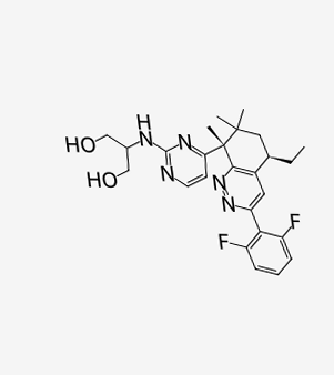 CC[C@@H]1CC(C)(C)[C@@](C)(c2ccnc(NC(CO)CO)n2)c2nnc(-c3c(F)cccc3F)cc21